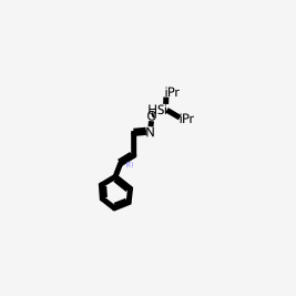 CC(C)[SiH](ON=C/C=C/c1ccccc1)C(C)C